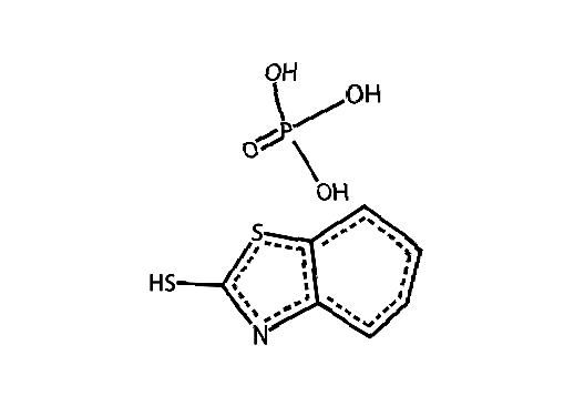 O=P(O)(O)O.Sc1nc2ccccc2s1